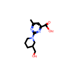 Cc1cc(C(=O)O)nc(N2CCCC(CO)C2)n1